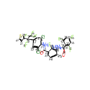 O=C(Nc1c(Cl)cc(C(F)(c2ccsc2)C(F)(F)F)cc1Cl)c1cccc(NC(=O)c2c(F)cc(F)cc2F)c1F